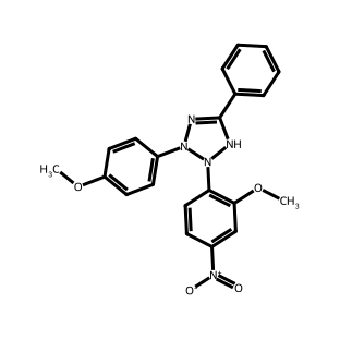 COc1ccc(N2N=C(c3ccccc3)NN2c2ccc([N+](=O)[O-])cc2OC)cc1